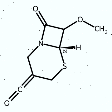 COC1C(=O)N2CC(=C=O)CS[C@@H]12